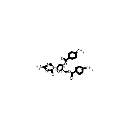 Cc1ccc(C(=O)OC[C@H]2O[C@H](n3cnc(N)nc3=O)C[C@@H]2OC(=O)c2ccc(C)cc2)cc1